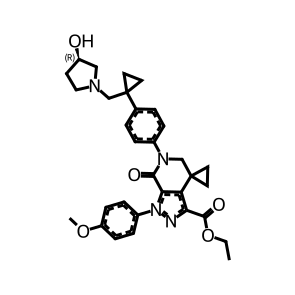 CCOC(=O)c1nn(-c2ccc(OC)cc2)c2c1C1(CC1)CN(c1ccc(C3(CN4CC[C@@H](O)C4)CC3)cc1)C2=O